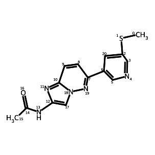 CSc1cncc(-c2ccc3nc(NC(C)=O)cn3n2)c1